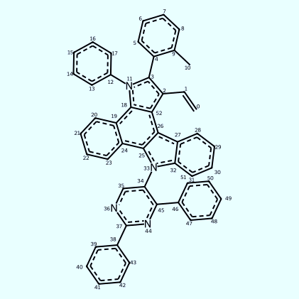 C=Cc1c(-c2ccccc2C)n(-c2ccccc2)c2c3ccccc3c3c(c4ccccc4n3-c3cnc(-c4ccccc4)nc3-c3ccccc3)c12